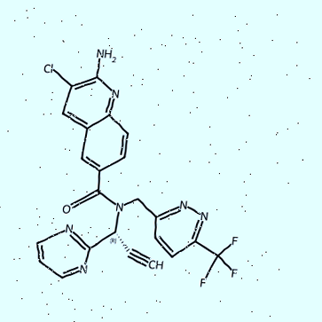 C#C[C@H](c1ncccn1)N(Cc1ccc(C(F)(F)F)nn1)C(=O)c1ccc2nc(N)c(Cl)cc2c1